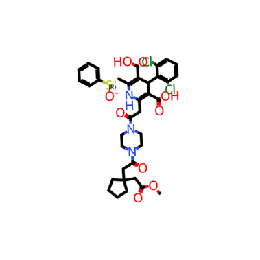 COC(=O)CC1(CC(=O)N2CCN(C(=O)CC3=C(C(=O)O)C(c4c(Cl)cccc4Cl)C(C(=O)O)=C(C[S@+]([O-])c4ccccc4)N3)CC2)CCCC1